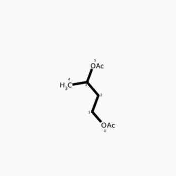 CC(=O)OCCC(C)OC(C)=O